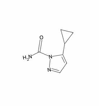 NC(=O)n1nccc1C1CC1